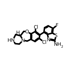 Nc1nc2c(-c3c(Cl)cc4c(c3Cl)OC[C@H]3CNCCN3C4)ccc(F)c2s1